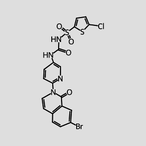 O=C(Nc1ccc(-n2ccc3ccc(Br)cc3c2=O)nc1)NS(=O)(=O)c1ccc(Cl)s1